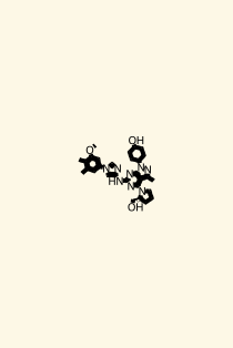 COc1cc(-n2cnc(Nc3nc(N4CCC[C@H]4CO)c4c(C)nn(C5CCC(O)CC5)c4n3)c2)cc(C)c1C